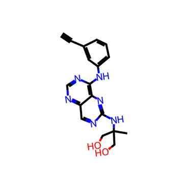 C#Cc1cccc(Nc2ncnc3cnc(NC(C)(CO)CO)nc23)c1